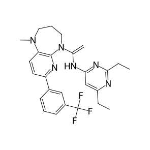 C=C(Nc1cc(CC)nc(CC)n1)N1CCCN(C)c2ccc(-c3cccc(C(F)(F)F)c3)nc21